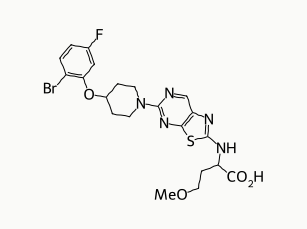 COCCC(Nc1nc2cnc(N3CCC(Oc4cc(F)ccc4Br)CC3)nc2s1)C(=O)O